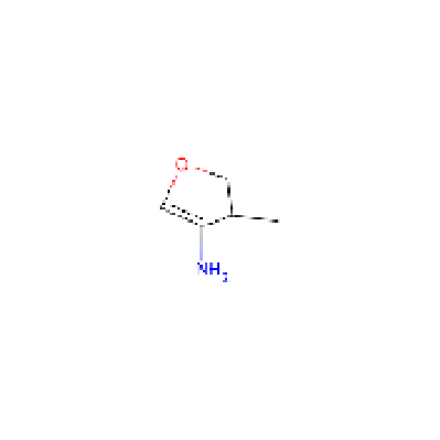 CC1COC=C1N